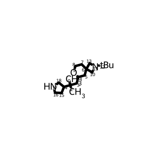 CC(C)(CC1CC2(CCO1)CN(C(C)(C)C)C2)C1CCNC1